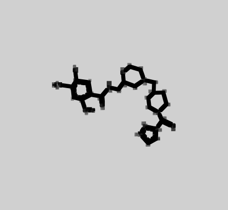 COc1cc(N)c(Cl)cc1C(=O)NCC1CN(CC2CCN(C(=O)n3ccnn3)CC2)CCO1